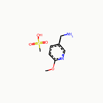 COc1ccc(CN)cn1.CS(=O)(=O)O